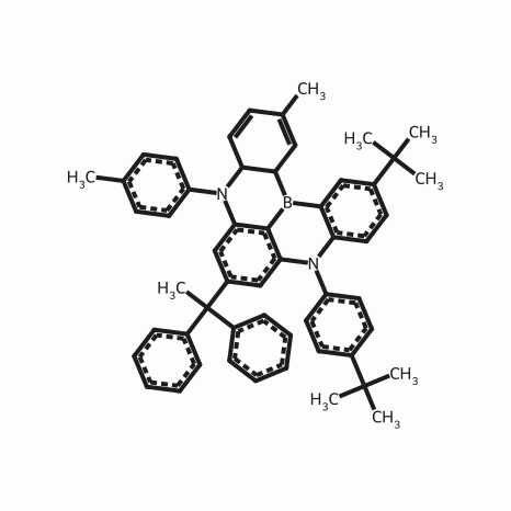 CC1=CC2B3c4cc(C(C)(C)C)ccc4N(c4ccc(C(C)(C)C)cc4)c4cc(C(C)(c5ccccc5)c5ccccc5)cc(c43)N(c3ccc(C)cc3)C2C=C1